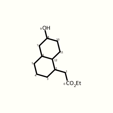 CCOC(=O)CC1CCCC2CC(O)CCC12